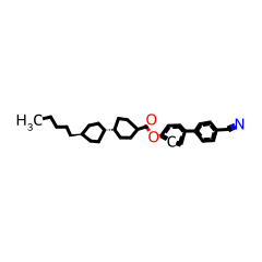 CCCCC[C@H]1CC[C@H](C2CCC(C(=O)Oc3ccc(-c4ccc(C#N)cc4)cc3)CC2)CC1